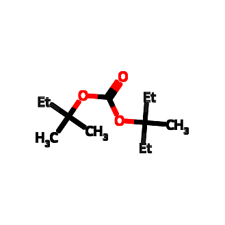 CCC(C)(C)OC(=O)OC(C)(CC)CC